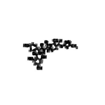 Cc1nnc(SCC2=C(C(=O)O)N3C(=O)C(NC(=O)C(NC(=O)c4c(O)cc(O)cc4O)c4ccc(O)cc4)[C@H]3SC2)s1